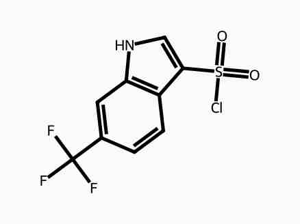 O=S(=O)(Cl)c1c[nH]c2cc(C(F)(F)F)ccc12